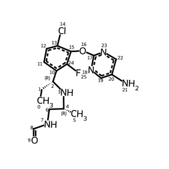 CC[C@@H](N[C@H](C)CNC=O)c1ccc(Cl)c(Oc2ncc(N)cn2)c1F